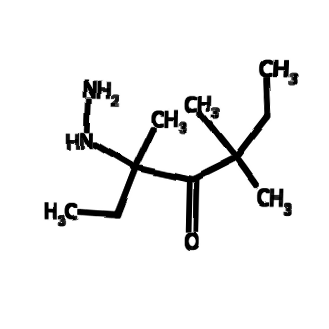 CCC(C)(C)C(=O)C(C)(CC)NN